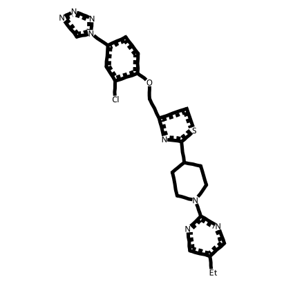 CCc1cnc(N2CCC(c3nc(COc4ccc(-n5cnnn5)cc4Cl)cs3)CC2)nc1